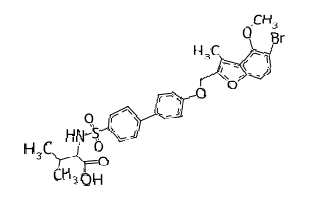 COc1c(Br)ccc2oc(COc3ccc(-c4ccc(S(=O)(=O)NC(C(=O)O)C(C)C)cc4)cc3)c(C)c12